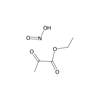 CCOC(=O)C(C)=O.O=NO